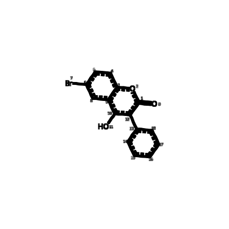 O=c1oc2ccc(Br)cc2c(O)c1-c1ccccc1